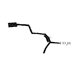 C#CCC/C=C(\C)C(=O)O